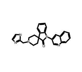 O=C1N(c2cnc3ccccc3c2)c2ccccc2C12CCN(CC1=NC=C[N]1)CC2